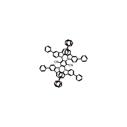 [C-]#[N+]c1c(C2c3ccc(-c4ccccc4)cc3-c3cc(-c4ccccc4)ccc32)c(-n2c3ccc(-c4ccccc4)cc3c3cc(-c4ccccc4)ccc32)c(C#N)c(-n2c3ccc(-c4ccccc4)cc3c3cc(-c4ccccc4)ccc32)c1-n1c2ccc(-c3ccccc3)cc2c2cc(-c3ccccc3)ccc21